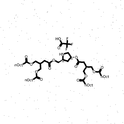 CCCCCCCCC(=O)OCC(COC(=O)CCCCCCCC)CC(=O)OC[C@@H]1C[C@@H](OC(=O)CC(COC(=O)CCCCCCCC)COC(=O)CCCCCCCC)CN1.O=C(O)C(F)(F)F